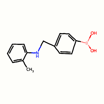 Cc1ccccc1NCc1ccc(B(O)O)cc1